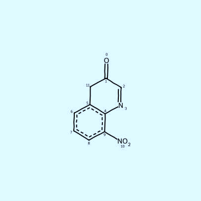 O=C1C=Nc2c(cccc2[N+](=O)[O-])C1